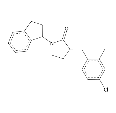 Cc1cc(Cl)ccc1CC1CCN(C2CCc3ccccc32)C1=O